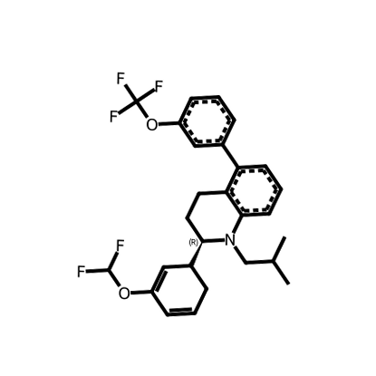 CC(C)CN1c2cccc(-c3cccc(OC(F)(F)F)c3)c2CC[C@@H]1C1C=C(OC(F)F)C=CC1